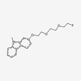 Cn1c2ccccc2c2ccc(OCCOCCOCCF)cc21